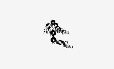 CC(C)(C)OC(=O)C[C@@H](Cc1ccccc1)C(=O)Nc1cc(Nc2cnccn2)nc(-c2ccnc(N3CCN(C(=O)OC(C)(C)C)CC3)c2)c1